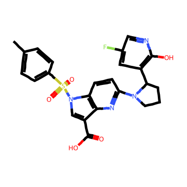 Cc1ccc(S(=O)(=O)n2cc(C(=O)O)c3nc(N4CCCC4c4cc(F)cnc4O)ccc32)cc1